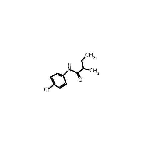 CCC(C)C(=O)Nc1ccc(Cl)cc1